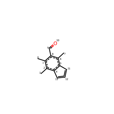 Cc1c(C)c2c(c(C)c1C=O)C=C=C2